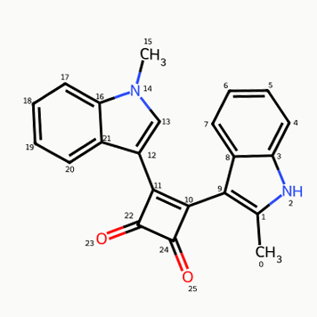 Cc1[nH]c2ccccc2c1-c1c(-c2cn(C)c3ccccc23)c(=O)c1=O